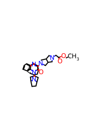 CCOC(=O)CN1CC2CN(c3nc4ccccc4n(C4CC5CCC(C4)N5C4CCCCCCC4)c3=O)CC2C1